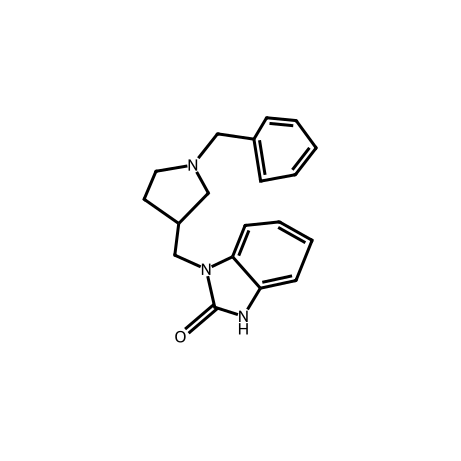 O=c1[nH]c2ccccc2n1CC1CCN(Cc2ccccc2)C1